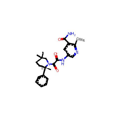 COc1ncc(NC(=O)C(=O)N2CC(C)(C)CC[C@@]2(C)c2ccccc2)cc1C(N)=O